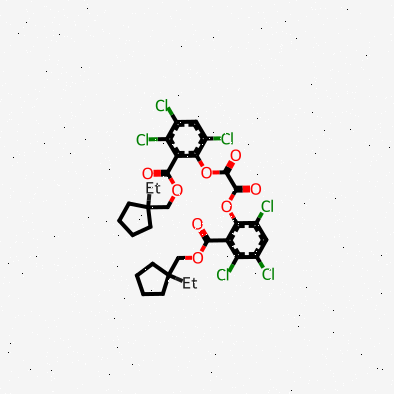 CCC1(COC(=O)c2c(Cl)c(Cl)cc(Cl)c2OC(=O)C(=O)Oc2c(Cl)cc(Cl)c(Cl)c2C(=O)OCC2(CC)CCCC2)CCCC1